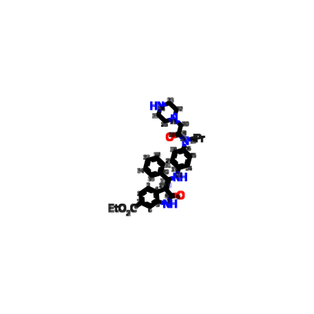 CCOC(=O)c1ccc2c(c1)NC(=O)/C2=C(\Nc1ccc(N(C(=O)CN2CCNCC2)C(C)C)cc1)c1ccccc1